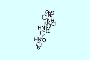 COc1cc(C(=O)NC2CCN(C)CC2)ccc1Nc1ncc(Cl)c(Nc2ccccc2N(C)S(C)(=O)=O)n1